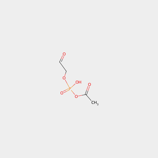 CC(=O)OP(=O)(O)OCC=O